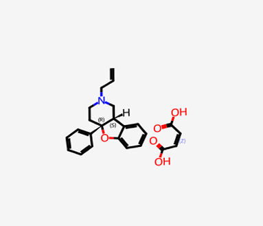 C=CCN1CC[C@@]2(c3ccccc3)Oc3ccccc3[C@H]2C1.O=C(O)/C=C\C(=O)O